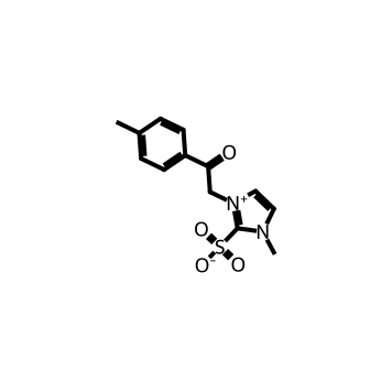 Cc1ccc(C(=O)C[n+]2ccn(C)c2S(=O)(=O)[O-])cc1